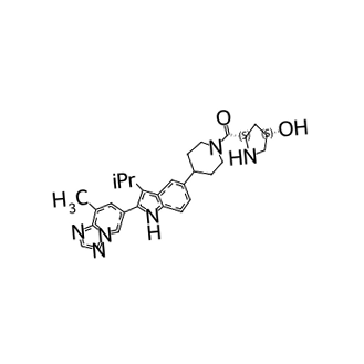 Cc1cc(-c2[nH]c3ccc(C4CCN(C(=O)[C@@H]5C[C@H](O)CN5)CC4)cc3c2C(C)C)cn2ncnc12